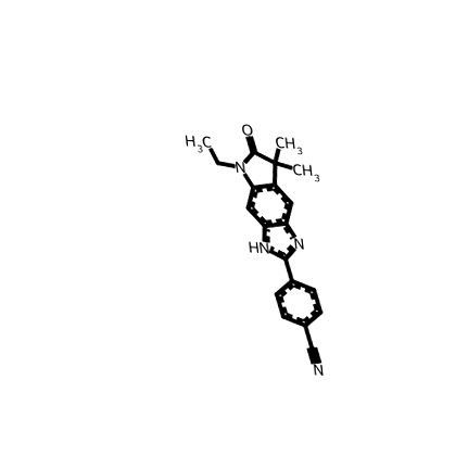 CCN1C(=O)C(C)(C)c2cc3nc(-c4ccc(C#N)cc4)[nH]c3cc21